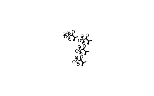 C=C(C)C(=O)S(=O)(=O)[O-].C=C(C)C(=O)S(=O)(=O)[O-].C=C(C)C(=O)S(=O)(=O)[O-].C=C(C)C(=O)S(=O)(=O)[O-].[Sn+4]